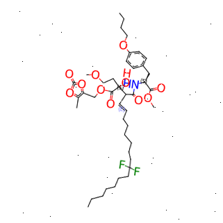 CCCCCCCC(F)(F)CCCCCC/C=C/C(C(=O)N[C@@H](Cc1ccc(OCCCC)cc1)C(=O)OC)[C@@](O)(CCOC)C(=O)OCc1oc(=O)oc1C